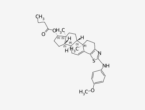 CCCC(=O)O[C@H]1CC[C@H]2[C@@H]3CC=C4c5sc(Nc6ccc(OC)cc6)nc5CC[C@]4(C)[C@H]3CC[C@]12C